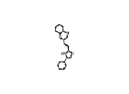 C(=C\c1ncc(-c2ccccc2)[nH]1)/c1cnc2ccccc2n1